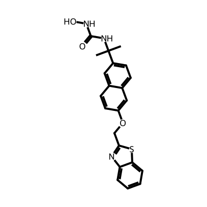 CC(C)(NC(=O)NO)c1ccc2cc(OCc3nc4ccccc4s3)ccc2c1